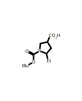 CCC1CC(C(=O)O)CN1C(=O)OC(C)(C)C